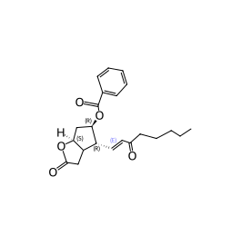 CCCCCC(=O)/C=C/[C@@H]1C2CC(=O)O[C@H]2C[C@H]1OC(=O)c1ccccc1